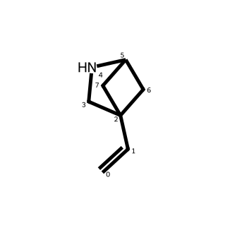 C=CC12CNC(C1)C2